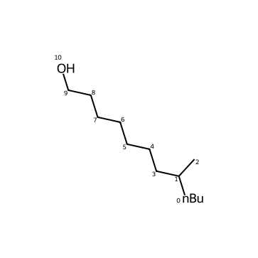 CCCCC(C)CCCCCCCO